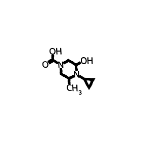 CC1CN(C(=O)O)CC(O)N1C1CC1